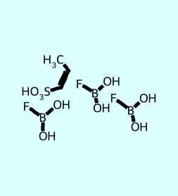 C/C=C\S(=O)(=O)O.OB(O)F.OB(O)F.OB(O)F